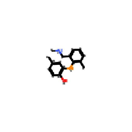 CNCc1cccc(C)c1Pc1cc(C)ccc1O